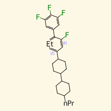 C=C(/C(F)=C\C(=C/CC)C1CCC(C2CCC(CCC)CC2)CC1)c1cc(F)c(F)c(F)c1